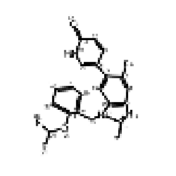 Cc1nc2cc(F)c(-c3ccc(=O)[nH]c3)cc2n1Cc1ccccc1OC(F)F